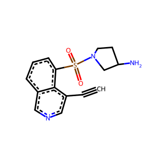 C#Cc1cncc2cccc(S(=O)(=O)N3CCC(N)C3)c12